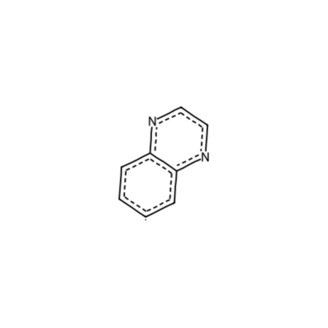 [c]1ccc2nccnc2c1